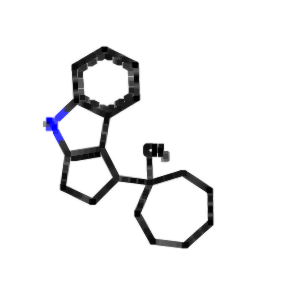 CC1(C2CCC3=C2c2ccccc2[N]3)CCCCCC1